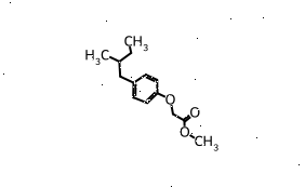 CCC(C)Cc1ccc(OCC(=O)OC)cc1